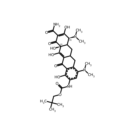 CN(C)c1cc(NC(=O)OCC(C)(C)C)c(O)c2c1CC1CC3[C@H](N(C)C)C(O)=C(C(N)=O)C(=O)[C@@]3(O)C(O)=C1C2=O